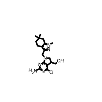 Cn1nc(CN2CC(CO)c3c(Cl)nc(N)nc32)c2c1CC(C)(C)CC2